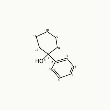 OC1(c2[c]cccc2)CCCCC1